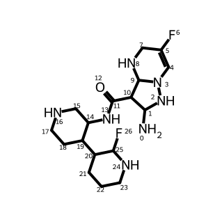 NC1NN2C=C(F)CNC2C1C(=O)NC1CNCCC1C1CCCNC1F